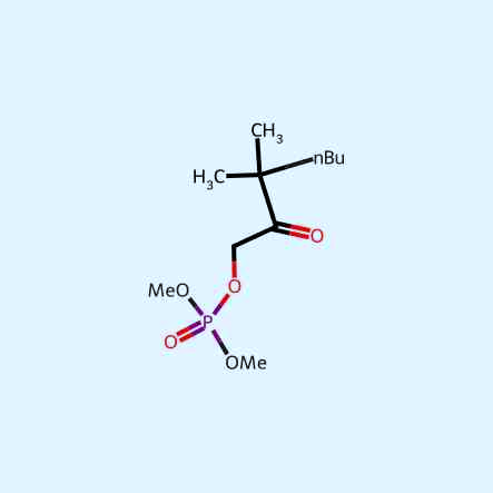 CCCCC(C)(C)C(=O)COP(=O)(OC)OC